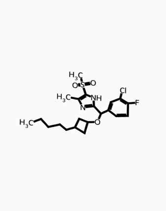 CCCCCC1CC(OC(c2ccc(F)c(Cl)c2)c2nc(C)c(S(C)(=O)=O)[nH]2)C1